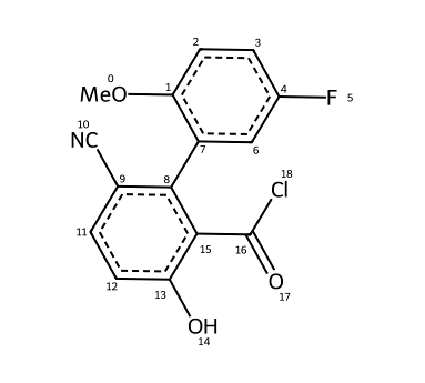 COc1ccc(F)cc1-c1c(C#N)ccc(O)c1C(=O)Cl